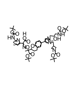 CC(C)(C)OC(=O)NCC(O)Cn1cc(-c2ccc3c(c2)CCC(C(C)(ON=C(C(=O)O)c2csc(NC(=O)OC(C)(C)C)n2)C(=O)OC(C)(C)C)O3)c[n+]1CC1CN(C(=O)OC(C)(C)C)C1